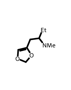 [CH2]CC(CC1=COCO1)NC